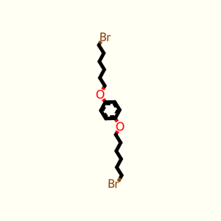 BrCCCCCCOc1ccc(OCCCCCCBr)cc1